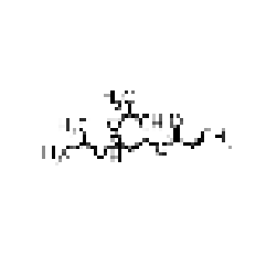 C=CC(=O)OCC[SiH](OC(C)C)OC(C)C